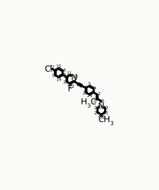 C/C(=C\c1ccc(C#Cc2ncc(-c3ccc(Cl)cc3)cc2F)cc1)CN1CCC(C)CC1